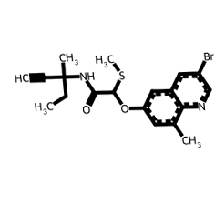 C#CC(C)(CC)NC(=O)C(Oc1cc(C)c2ncc(Br)cc2c1)SC